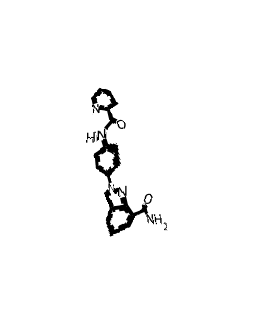 NC(=O)c1cccc2cn(-c3ccc(NC(=O)c4ccccn4)cc3)nc12